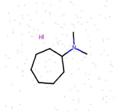 CN(C)C1CCCCCC1.I